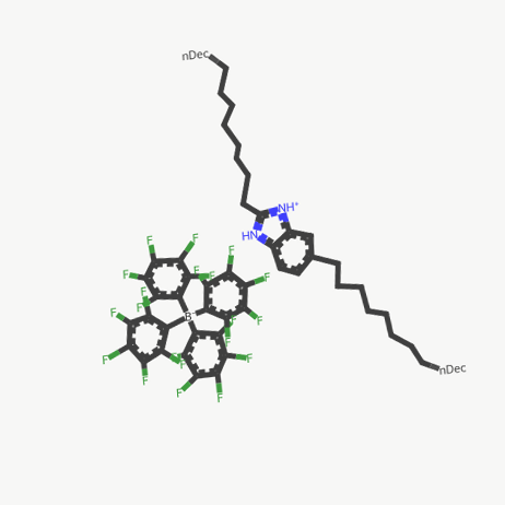 CCCCCCCCCCCCCCCCCCc1ccc2[nH]c(CCCCCCCCCCCCCCCCCC)[nH+]c2c1.Fc1c(F)c(F)c([B-](c2c(F)c(F)c(F)c(F)c2F)(c2c(F)c(F)c(F)c(F)c2F)c2c(F)c(F)c(F)c(F)c2F)c(F)c1F